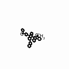 CC1(C)c2cc(-c3c4ccccc4c(-c4ccc(C(=O)c5ccccc5)cc4)c4ccc(-c5ccc6ccccc6c5)cc34)c3ccccc3c2C2C=CC=CC21